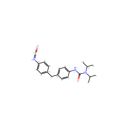 CC(C)N(C(=O)Nc1ccc(Cc2ccc(N=C=O)cc2)cc1)C(C)C